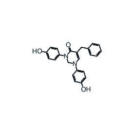 O=C1C(Cc2ccccc2)=CN(c2ccc(O)cc2)CN1c1ccc(O)cc1